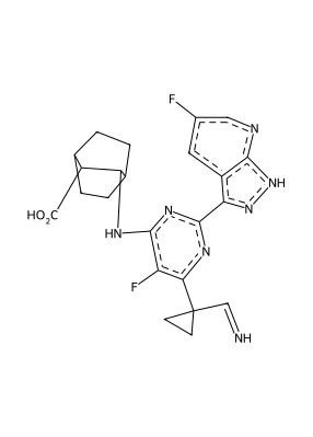 N=CC1(c2nc(-c3n[nH]c4ncc(F)cc34)nc(NC3C4CCC(CC4)C3C(=O)O)c2F)CC1